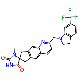 CN1C(=O)NC(=O)C12Cc1cc3ccc(CN4CCc5ccc(C(F)(F)F)cc54)nc3cc1C2